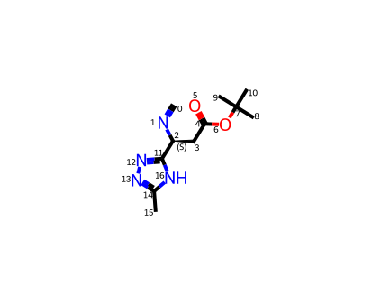 C=N[C@@H](CC(=O)OC(C)(C)C)c1nnc(C)[nH]1